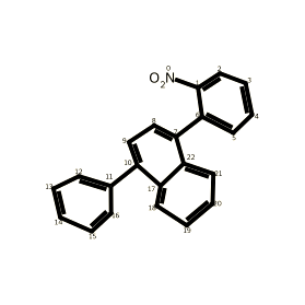 O=[N+]([O-])c1ccccc1-c1ccc(-c2ccccc2)c2ccccc12